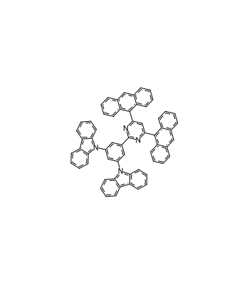 c1ccc2c(-c3cc(-c4c5ccccc5cc5ccccc45)nc(-c4cc(-n5c6ccccc6c6ccccc65)cc(-n5c6ccccc6c6ccccc65)c4)n3)c3ccccc3cc2c1